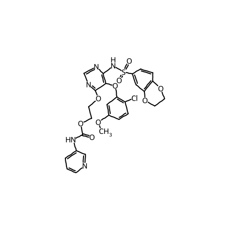 COc1ccc(Cl)c(Oc2c(NS(=O)(=O)c3ccc4c(c3)OCCO4)ncnc2OCCOC(=O)Nc2cccnc2)c1